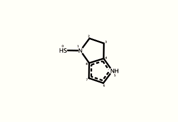 SN1CCc2[nH]ccc21